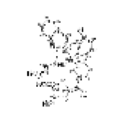 N[C@@H]1C[C@H](C(=O)N2CCC[C@@H]([C@@](O)(CCCNC(=O)O)c3cccc(Cl)c3-c3cnc4ccccc4c3)C2)C[C@@H]1O